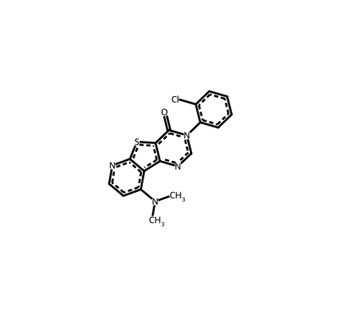 CN(C)c1ccnc2sc3c(=O)n(-c4ccccc4Cl)cnc3c12